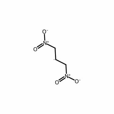 O=[N+]([O-])C[CH]C[N+](=O)[O-]